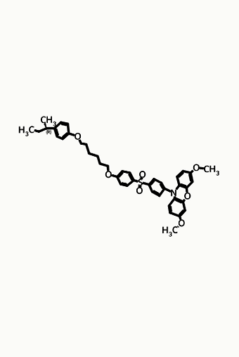 CC[C@@H](C)c1ccc(OCCCCCCOc2ccc(S(=O)(=O)c3ccc(N4c5ccc(OC)cc5Oc5cc(OC)ccc54)cc3)cc2)cc1